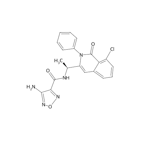 C[C@H](NC(=O)c1nonc1N)c1cc2cccc(Cl)c2c(=O)n1-c1ccccc1